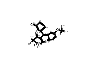 Cc1nc2ccc(OC(F)(F)F)cc2c(-c2cccc(Cl)c2)c1C(=O)C(F)(F)F